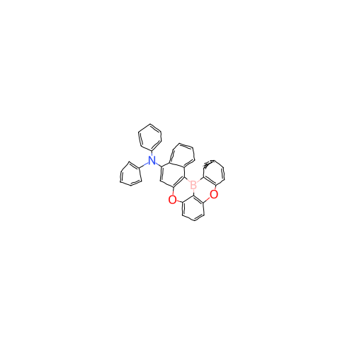 c1ccc(N(c2ccccc2)c2cc3c(c4ccccc24)B2c4c(cccc4O3)Oc3ccc4ccccc4c32)cc1